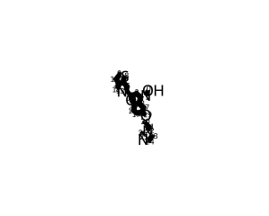 O/N=c1\cc(-c2cc3sccc3cn2)oc2ccc(OCCn3ccnc3)cc12